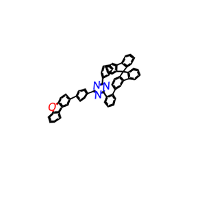 c1ccc(-c2nc(-c3ccc(-c4ccc5oc6ccccc6c5c4)cc3)nc(-c3ccccc3-c3ccc4c(c3)-c3ccccc3C43c4ccccc4-c4ccccc43)n2)cc1